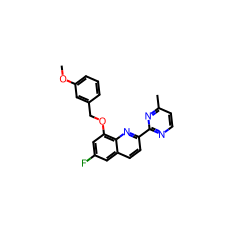 COc1cccc(COc2cc(F)cc3ccc(-c4nccc(C)n4)nc23)c1